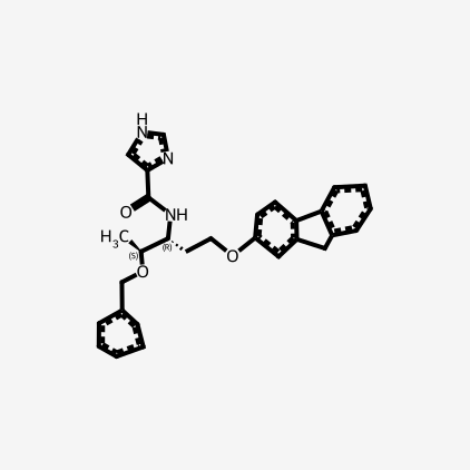 C[C@H](OCc1ccccc1)[C@@H](CCOc1ccc2c(c1)Cc1ccccc1-2)NC(=O)c1c[nH]cn1